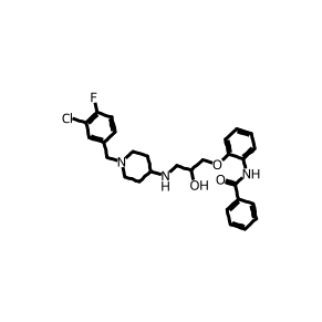 O=C(Nc1ccccc1OCC(O)CNC1CCN(Cc2ccc(F)c(Cl)c2)CC1)c1ccccc1